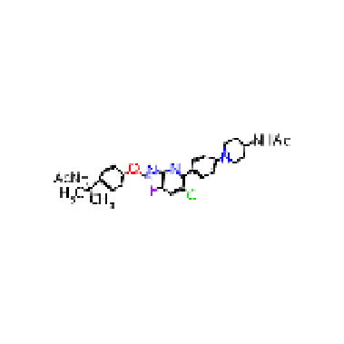 CC(=O)NC1CCN(c2ccc(-c3nc(/N=C/Oc4ccc(C(C)(C)NC(C)=O)cc4)c(I)cc3Cl)cc2)CC1